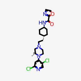 C[C@@H]1CN(CC[C@H]2CC[C@H](NC(=O)c3ncco3)CC2)CCN1c1cc(Cl)ncc1Cl